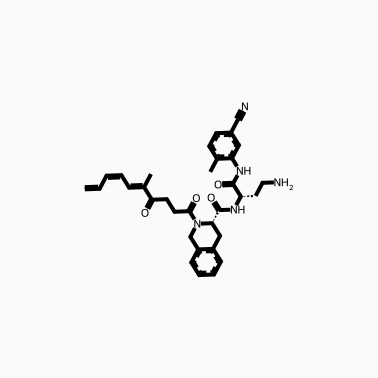 C=C/C=C\C=C(/C)C(=O)CCC(=O)N1Cc2ccccc2C[C@H]1C(=O)N[C@@H](CCN)C(=O)Nc1cc(C#N)ccc1C